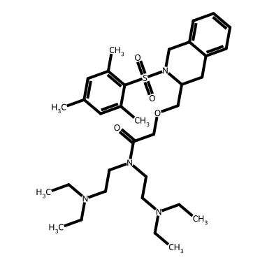 CCN(CC)CCN(CCN(CC)CC)C(=O)COCC1Cc2ccccc2CN1S(=O)(=O)c1c(C)cc(C)cc1C